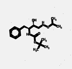 CC(C)ONC[C@@H](O)[C@H](Cc1ccccc1)NC(=O)OC(C)(C)C